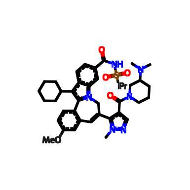 COc1ccc2c(c1)C=C(c1c(C(=O)N3CCCC(N(C)C)C3)cnn1C)Cn1c-2c(C2CCCCC2)c2ccc(C(=O)NS(=O)(=O)C(C)C)cc21